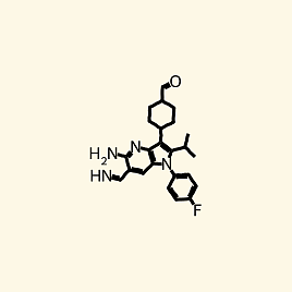 CC(C)c1c(C2CCC(C=O)CC2)c2nc(N)c(C=N)cc2n1-c1ccc(F)cc1